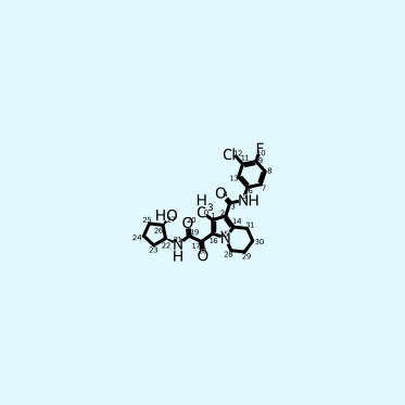 Cc1c(C(=O)Nc2ccc(F)c(Cl)c2)c2n(c1C(=O)C(=O)N[C@H]1CCC[C@H]1O)CCCC2